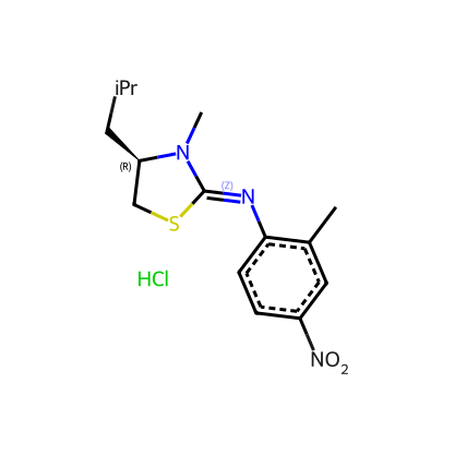 Cc1cc([N+](=O)[O-])ccc1/N=C1\SC[C@@H](CC(C)C)N1C.Cl